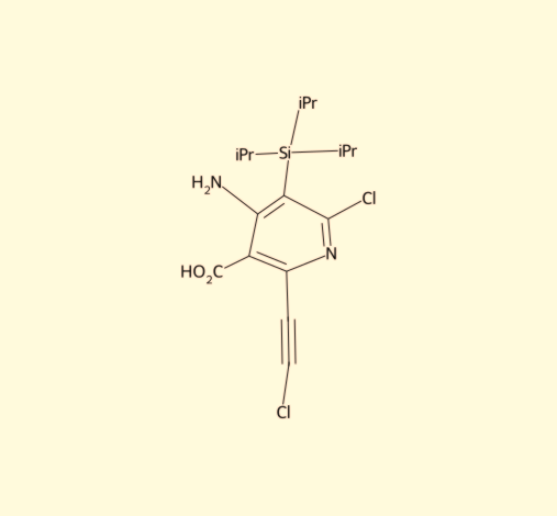 CC(C)[Si](c1c(Cl)nc(C#CCl)c(C(=O)O)c1N)(C(C)C)C(C)C